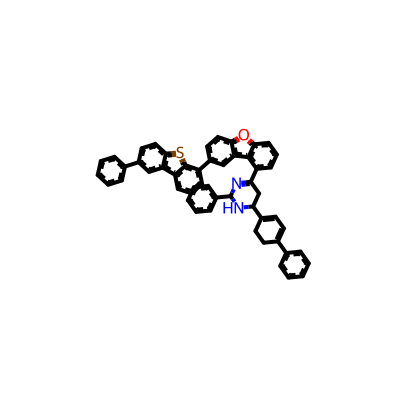 C1=C(c2ccccc2)CCC(C2CC(c3cccc4oc5ccc(-c6cccc7c6sc6ccc(-c8ccccc8)cc67)cc5c34)=NC(c3ccccc3)N2)=C1